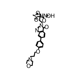 CC(CCn1cnc2cc(-c3ccc(OCCCN4CCOCC4)cc3)ccc2c1=O)(C(=O)NO)S(C)(=O)=O